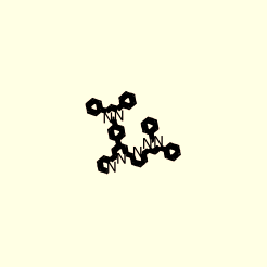 c1ccc(-c2cc(-c3ccccc3)nc(-c3ccc(-c4cc(-c5ccccn5)nc(-c5cccc(-c6cc(-c7ccccc7)nc(-c7ccccc7)n6)n5)c4)cc3)n2)cc1